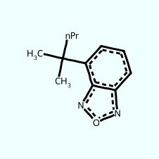 CCCC(C)(C)c1cccc2nonc12